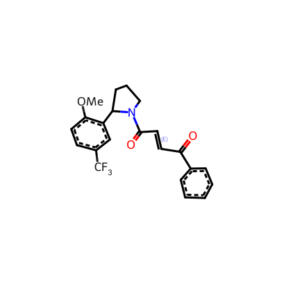 COc1ccc(C(F)(F)F)cc1C1CCCN1C(=O)/C=C/C(=O)c1ccccc1